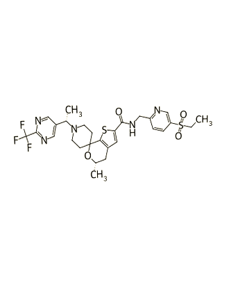 CCS(=O)(=O)c1ccc(CNC(=O)c2cc3c(s2)C2(CCN([C@@H](C)c4cnc(C(F)(F)F)nc4)CC2)O[C@@H](C)C3)nc1